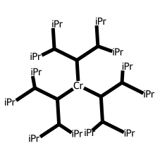 CC(C)C(C(C)C)[CH](C(C(C)C)C(C)C)[Cr]([CH](C(C(C)C)C(C)C)C(C(C)C)C(C)C)[CH](C(C(C)C)C(C)C)C(C(C)C)C(C)C